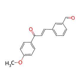 COc1ccc(C(=O)C=Cc2cccc(C=O)c2)cc1